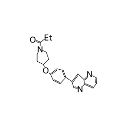 CCC(=O)N1CCC(Oc2ccc(-c3cnc4cccnc4c3)cc2)CC1